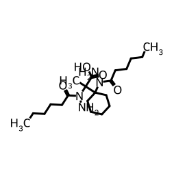 CCCCCC(=O)N(N)C1(C(C)(C(=O)O)N(N)C(=O)CCCCC)CCCCC1